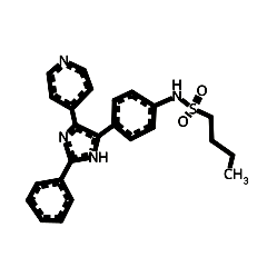 CCCCS(=O)(=O)Nc1ccc(-c2[nH]c(-c3ccccc3)nc2-c2ccncc2)cc1